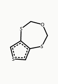 c1scc2c1SCOCS2